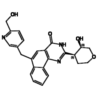 O=c1[nH]c([C@@H]2CCOC[C@@H]2O)nc2c1cc(Cc1ccc(CO)nc1)c1ccccc12